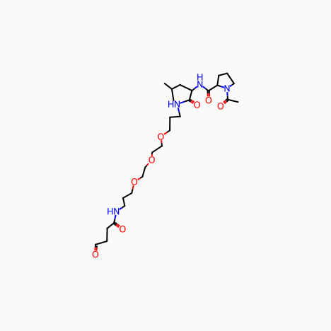 CC(=O)N1CCCC1C(=O)NC(CC(C)C)C(=O)NCCCOCCOCCOCCCNC(=O)CCC=O